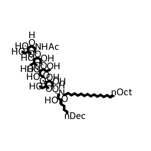 CCCCCCCC/C=C\CCCCCCCCCCCCCC(=O)N[C@@H](CO[C@@H]1OC(CO)[C@@H](O[C@@H]2OC(CO)[C@H](O[C@@H]3OC(CO)[C@H](O)[C@H](O[C@@H]4OC(CO)[C@H](O)[C@H](O)C4NC(C)=O)C3O)[C@H](O)C2O)[C@H](O)C1O)[C@H](O)/C=C/CCCCCCCCCCCCC